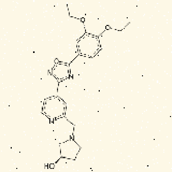 CCOc1ccc(-c2nc(-c3ccnc(CN4CC[C@@H](O)C4)c3)no2)cc1OCC